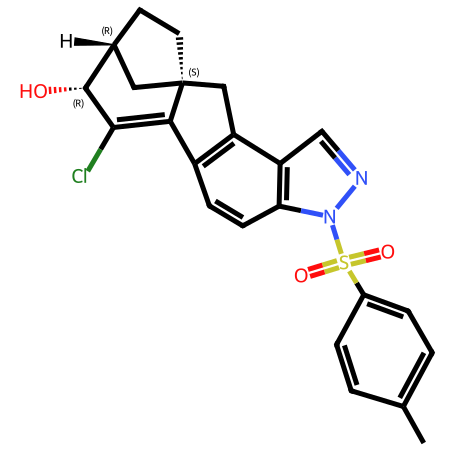 Cc1ccc(S(=O)(=O)n2ncc3c4c(ccc32)C2=C(Cl)[C@H](O)[C@@H]3CC[C@@]2(C4)C3)cc1